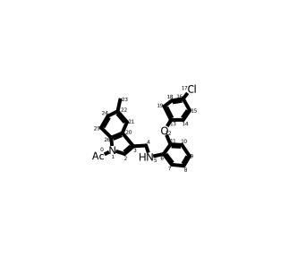 CC(=O)n1cc(CNc2ccccc2Oc2ccc(Cl)cc2)c2cc(C)ccc21